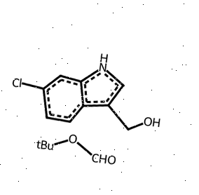 CC(C)(C)OC=O.OCc1c[nH]c2cc(Cl)ccc12